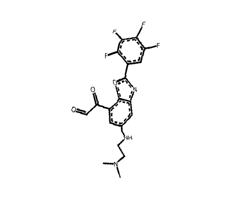 CN(C)CCNc1cc(C(=O)C=O)c2oc(-c3cc(F)c(F)c(F)c3F)nc2c1